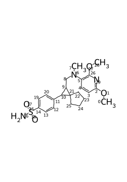 COc1ccc(N(C)CC2C(c3ccc(S(N)(=O)=O)cc3)C23CCCC3)c(OC)n1